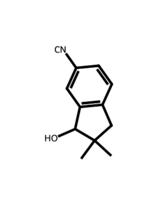 [C-]#[N+]c1ccc2c(c1)C(O)C(C)(C)C2